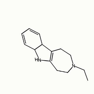 CCN1CCC2=C(CC1)C1C=CC=CC1N2